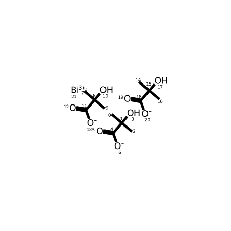 CC(C)(O)C(=O)[O-].CC(C)(O)C(=O)[O-].CC(C)(O)C(=O)[O-].[Bi+3]